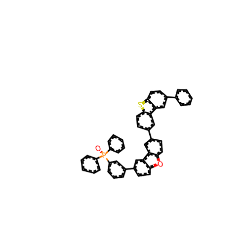 O=P(c1ccccc1)(c1ccccc1)c1cccc(-c2ccc3oc4ccc(-c5ccc6sc7ccc(-c8ccccc8)cc7c6c5)cc4c3c2)c1